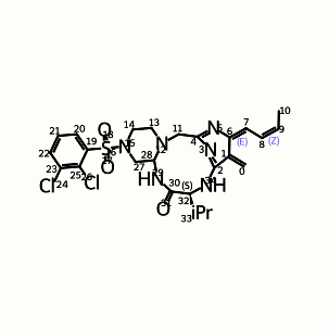 C=c1c2nc(n/c1=C/C=C\C)CN1CCN(S(=O)(=O)c3cccc(Cl)c3Cl)CC1NC(=O)[C@H](C(C)C)N2